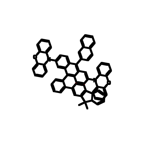 CC1(C)c2cc(-c3ccccc3-c3c4ccc(N5c6ccccc6Oc6ccccc65)cc4c(-c4ccc5ccccc5c4)c4ccc(N5c6ccccc6Oc6ccccc65)cc34)ccc2C2C=CC=CC21